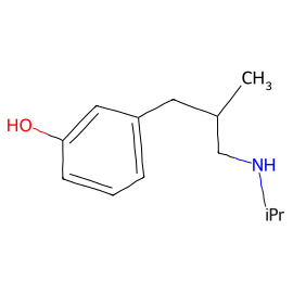 CC(CNC(C)C)Cc1cccc(O)c1